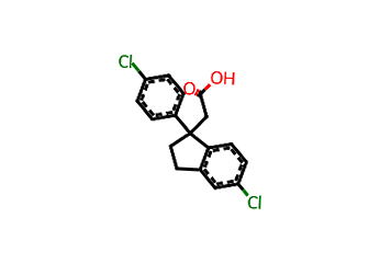 O=C(O)CC1(c2ccc(Cl)cc2)CCc2cc(Cl)ccc21